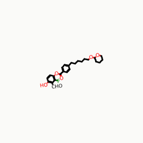 O=Cc1c(O)ccc(OC(=O)c2ccc(CCCCCCOC3CCCCO3)cc2)c1F